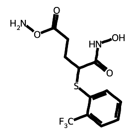 NOC(=O)CCC(Sc1ccccc1C(F)(F)F)C(=O)NO